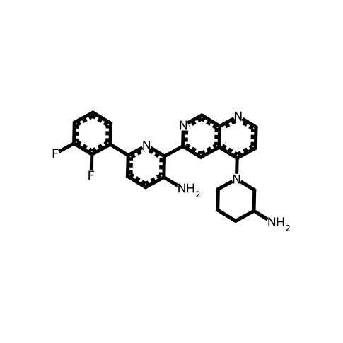 Nc1ccc(-c2cccc(F)c2F)nc1-c1cc2c(N3CCCC(N)C3)ccnc2cn1